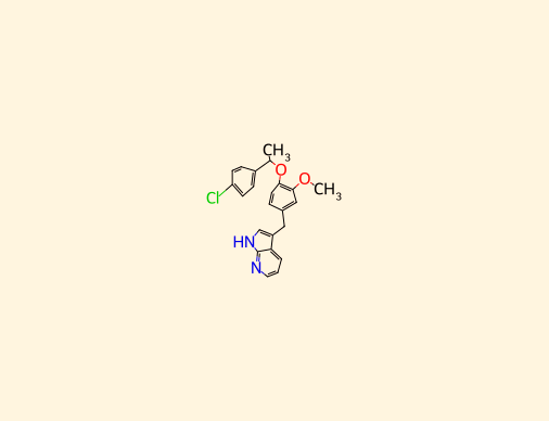 COc1cc(Cc2c[nH]c3ncccc23)ccc1OC(C)c1ccc(Cl)cc1